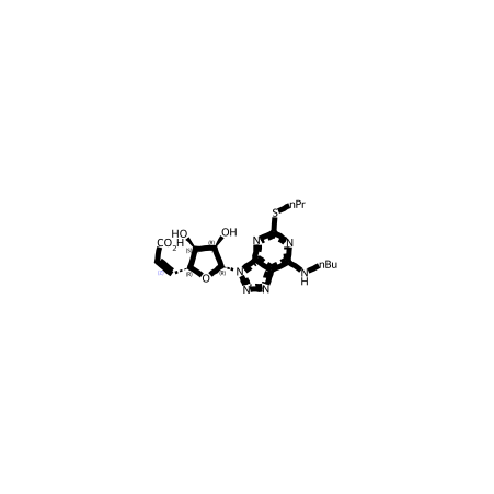 CCCCNc1nc(SCCC)nc2c1nnn2[C@@H]1O[C@H](/C=C\C(=O)O)[C@@H](O)[C@H]1O